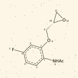 CC(=O)Nc1ccc(F)cc1OC[C@@H]1CO1